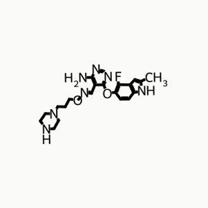 Cc1cc2c(F)c(Oc3ncnc(N)c3C=NOCCCN3CCNCC3)ccc2[nH]1